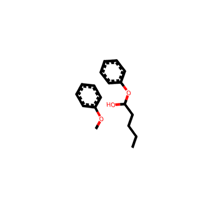 CCCCC(O)Oc1ccccc1.COc1ccccc1